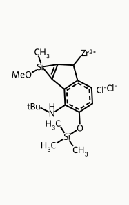 CO[Si]1(C)C2=C1[CH]([Zr+2])c1ccc(O[Si](C)(C)C)c(NC(C)(C)C)c12.[Cl-].[Cl-]